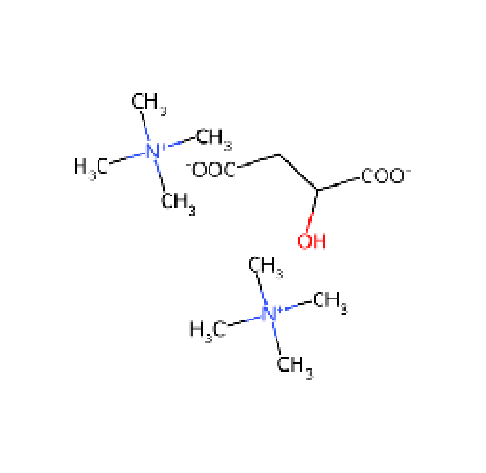 C[N+](C)(C)C.C[N+](C)(C)C.O=C([O-])CC(O)C(=O)[O-]